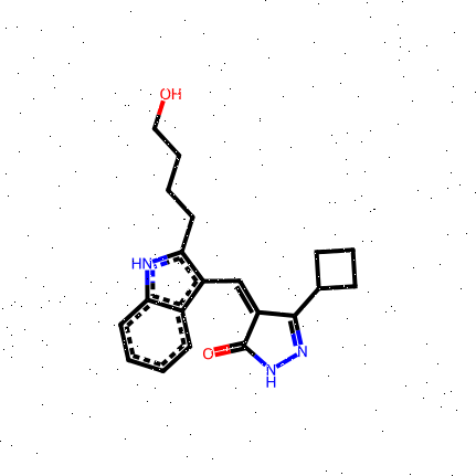 O=C1NN=C(C2CCC2)C1=Cc1c(CCCCO)[nH]c2ccccc12